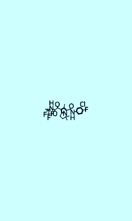 Cc1c(C(=O)C(=O)N[C@H](C)C(F)(F)F)c2n(c1C(=O)Nc1ccc(F)c(Cl)c1)C(C)(C)CC2